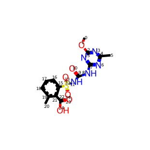 COc1nc(C)nc(NC(=O)NS(=O)(=O)c2cccc(C)c2C(=O)O)n1